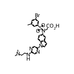 Cc1cc(Br)cc(S(=O)(=O)N(CC(=O)O)c2ccc3c(ccn3-c3cnc(NCCN(C)C)cn3)c2)c1